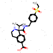 CCS(=O)(=O)c1ccc(CNC(=O)[C@@]2(C(C)C)NCCc3cc(C(=O)O)ccc32)cc1